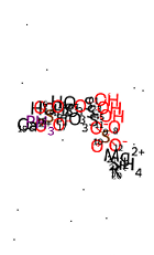 O=S(=O)(O)O.O=S(=O)(O)O.O=S(=O)(O)O.O=S(=O)([O-])O.O=S(=O)([O-])[O-].O=S(=O)([O-])[O-].P.[Ca+2].[K+].[Mg+2].[SiH4]